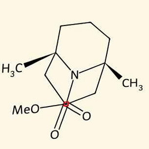 COC(=O)N1[C@@]2(C)CCC[C@]1(C)CC(=O)C2